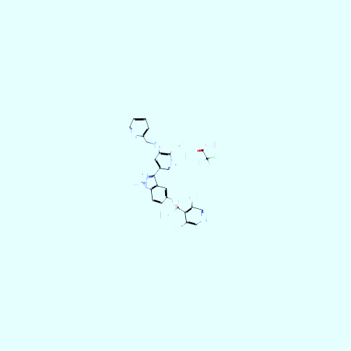 COc1ncc(-c2n[nH]c3ccc(O[C@H](C)c4c(Cl)cncc4Cl)cc23)cc1NCc1ccccn1.O=C(O)C(F)(F)F